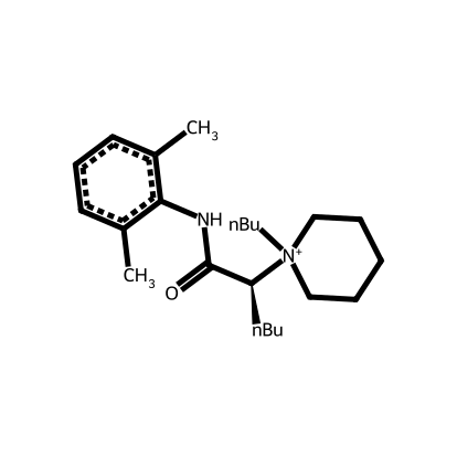 CCCC[C@@H](C(=O)Nc1c(C)cccc1C)[N+]1(CCCC)CCCCC1